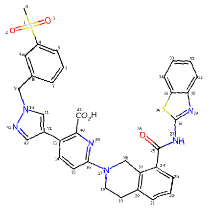 CS(=O)(=O)c1cccc(Cn2cc(-c3ccc(N4CCc5cccc(C(=O)Nc6nc7ccccc7s6)c5C4)nc3C(=O)O)cn2)c1